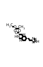 CCOC(=O)[C@@H](C)OC(=O)[C@@H]1C[C@H]2C[C@@H](CCc3nn[nH]n3)CC[C@H]2CN1